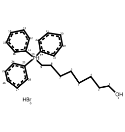 Br.OCCCCCCCC[PH](c1ccccc1)(c1ccccc1)c1ccccc1